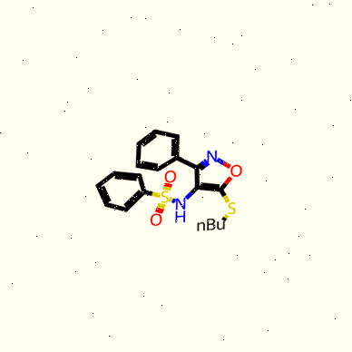 CCCCSc1onc(-c2ccccc2)c1NS(=O)(=O)c1ccccc1